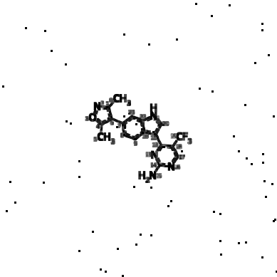 Cc1noc(C)c1-c1ccc2c(-c3nc(N)ncc3C(F)(F)F)c[nH]c2c1